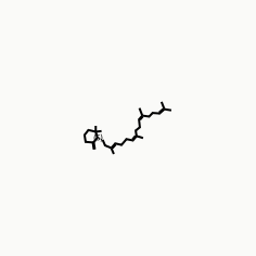 C=C1CCCC(C)(C)[C@@H]1CCC(C)=CCCC=C(C)CCC=C(C)CCC=C(C)C